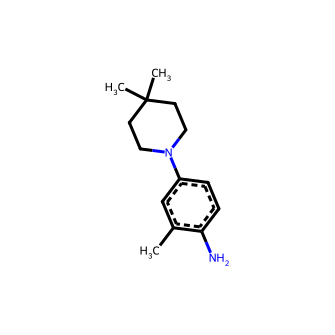 Cc1cc(N2CCC(C)(C)CC2)ccc1N